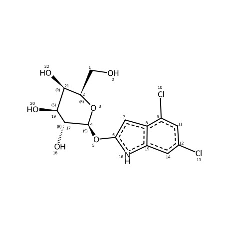 OC[C@H]1O[C@@H](Oc2cc3c(Cl)cc(Cl)cc3[nH]2)[C@H](O)[C@@H](O)[C@H]1O